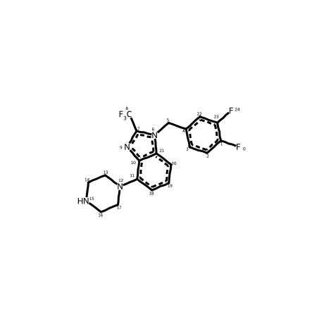 Fc1ccc(Cn2c(C(F)(F)F)nc3c(N4CCNCC4)cccc32)cc1F